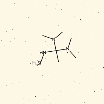 CN(C)C(C)(N[SiH3])N(C)C